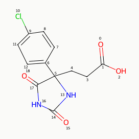 O=C(O)CCC1(c2ccc(Cl)cc2)NC(=O)NC1=O